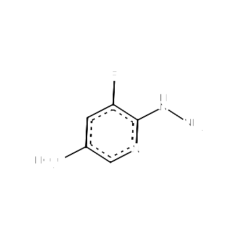 NNc1ncc(C(=O)O)cc1F